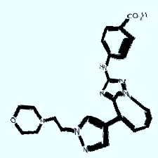 O=C(O)c1ccc(Nc2nc3c(-c4cnn(CCN5CCOCC5)c4)cccn3n2)cc1